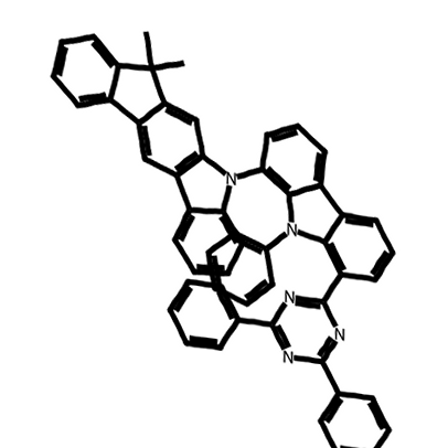 CC1(C)c2ccccc2-c2cc3c4ccccc4n(-c4cccc5c6cccc(-c7nc(-c8ccccc8)nc(-c8ccccc8)n7)c6n(-c6ccccc6)c45)c3cc21